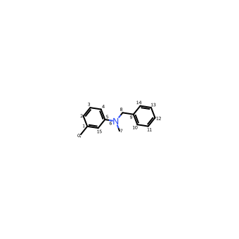 [CH2]c1cccc(N(C)Cc2ccccc2)c1